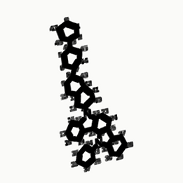 c1ccc(-c2ccc(-c3ccc4cc(-n5c6ccccc6c6c5ccc5c7ccccc7n(-c7ccccc7)c56)ccc4c3)cc2)cc1